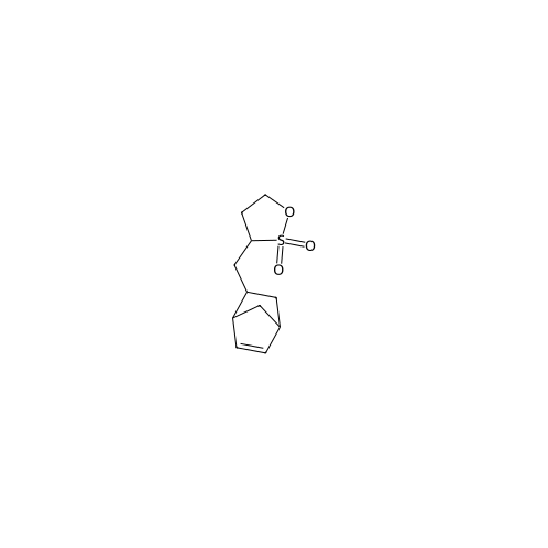 O=S1(=O)OCCC1CC1CC2C=CC1C2